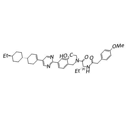 CC[C@@H](NC(=O)Cc1ccc(OC)cc1)C(=O)N(CC(=O)O)Cc1ccc(-c2ncc(C3=CCC([C@H]4CC[C@H](CC)CC4)CC3)cn2)cc1